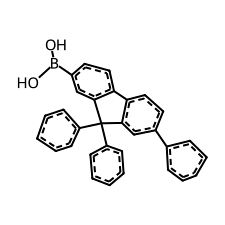 OB(O)c1ccc2c(c1)C(c1ccccc1)(c1ccccc1)c1cc(-c3ccccc3)ccc1-2